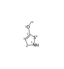 COC1=[C]CNS1